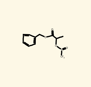 CC(OS(=O)C(F)(F)F)C(=O)OCc1ccccc1